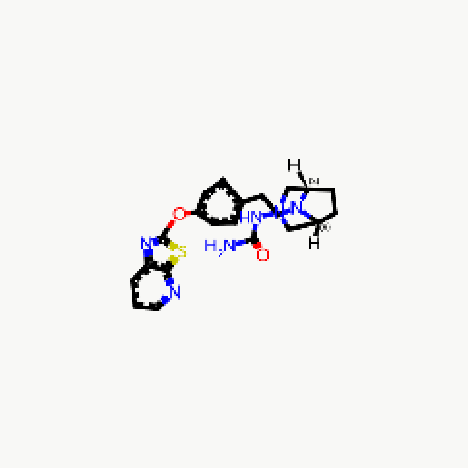 NC(=O)NN1C[C@H]2CC[C@@H](C1)N2CCc1ccc(Oc2nc3cccnc3s2)cc1